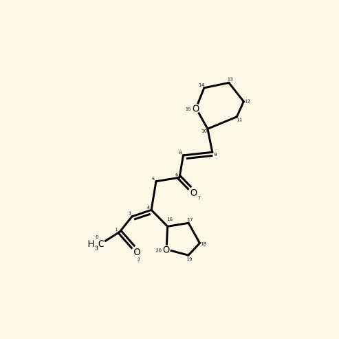 CC(=O)C=C(CC(=O)C=CC1CCCCO1)C1CCCO1